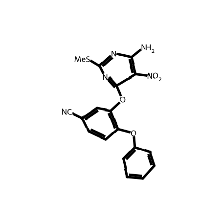 CSc1nc(N)c([N+](=O)[O-])c(Oc2cc(C#N)ccc2Oc2ccccc2)n1